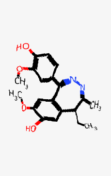 CC[C@@H]1C(C)=NN=C(c2ccc(O)c(OC)c2)c2cc(OC)c(O)cc21